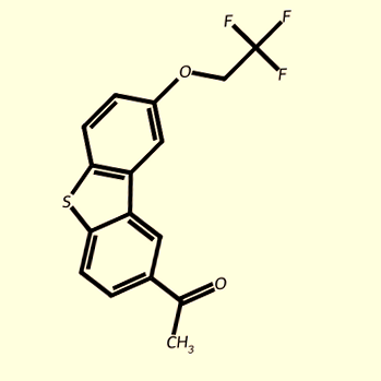 CC(=O)c1ccc2sc3ccc(OCC(F)(F)F)cc3c2c1